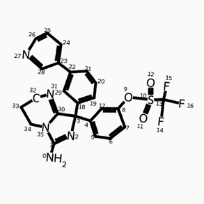 NC1=NC(c2cccc(OS(=O)(=O)C(F)(F)F)c2)(c2cccc(-c3cccnc3)c2)C2=NCCCN12